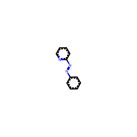 [c]1ccc(N=Nc2ccccn2)cc1